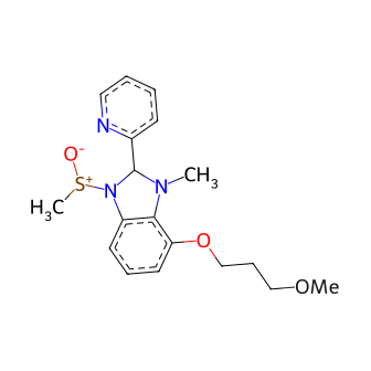 COCCCOc1cccc2c1N(C)C(c1ccccn1)N2[S+](C)[O-]